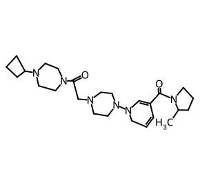 CC1CCCN1C(=O)C1=CN(N2CCN(CC(=O)N3CCN(C4CCC4)CC3)CC2)CC=C1